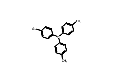 Cc1ccc(N(c2ccc(C)cc2)c2ccc(C(C)(C)C)cc2)cc1